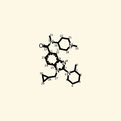 CC1CCCCN1c1nc2cc(C(=O)N(C)C3CCN(C)CC3)ccc2n1CC1CC1